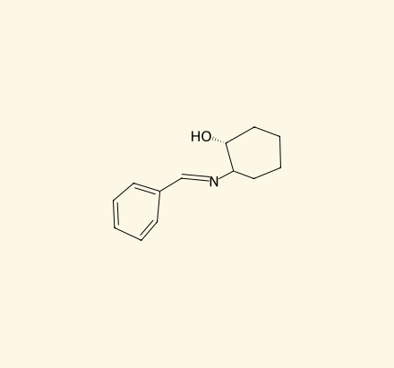 O[C@@H]1CCCCC1/N=C/c1ccccc1